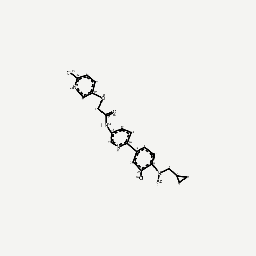 CC(=O)N(CC1CC1)c1ccc(-c2ccc(NC(=O)COc3ccc(Cl)nc3)cn2)cc1Cl